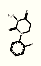 NN1C(=O)CCN(c2ccccc2F)C1=O